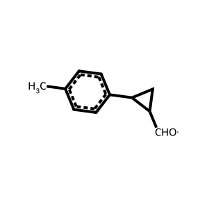 Cc1ccc(C2CC2[C]=O)cc1